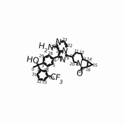 CC(O)(c1ccc(-c2nc(C3CCC4C5CC5C(=O)N4C3)n3ccnc(N)c23)cc1)c1cccc(C(F)(F)F)c1